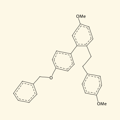 COc1ccc(CCc2ccc(OC)cc2-c2ccc(OCc3ccccc3)cc2)cc1